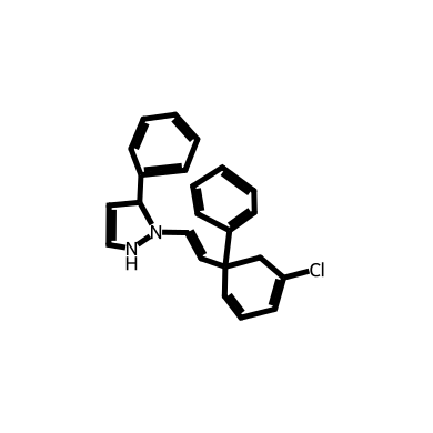 ClC1=CC=CC(C=CN2NC=CC2c2ccccc2)(c2ccccc2)C1